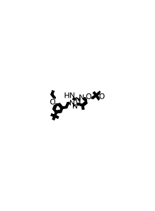 CCCOc1cc(CCn2nc3c(C)cc(OCC4(C)COC4)nn3c2=N)cc(C(C)(C)C)c1